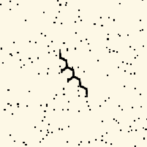 ICCCC(I)CC(I)CCI